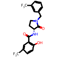 O=C(N[C@@H]1CCN(Cc2cccc(C(F)(F)F)c2)C1=O)c1cc(C(F)(F)F)ccc1O